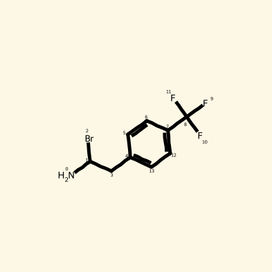 NC(Br)Cc1ccc(C(F)(F)F)cc1